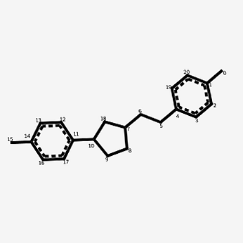 Cc1ccc(CCC2CCC(c3ccc(C)cc3)C2)cc1